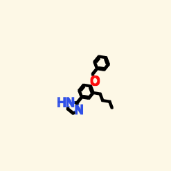 CCCCc1cc(C2=NCCN2)ccc1OCc1ccccc1